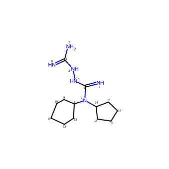 N=C(N)NNC(=N)N(C1CCCCC1)C1CCCC1